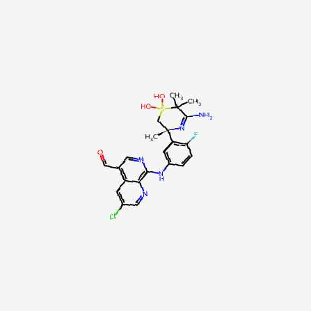 CC1(C)C(N)=N[C@](C)(c2cc(Nc3ncc(C=O)c4cc(Cl)cnc34)ccc2F)CS1(O)O